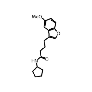 COc1ccc2occ(CCCC(=O)NC3CCCC3)c2c1